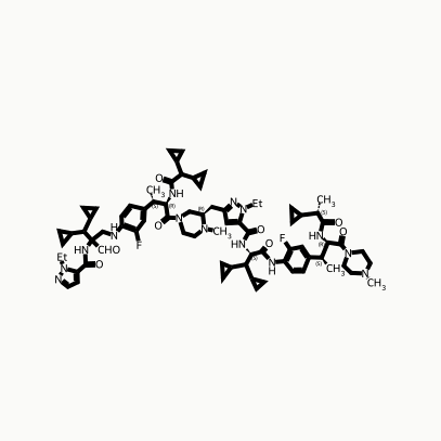 CCn1nc(C[C@@H]2CN(C(=O)[C@H](NC(=O)C(C3CC3)C3CC3)[C@@H](C)c3ccc(NCC(C=O)(NC(=O)c4ccnn4CC)C(C4CC4)C4CC4)c(F)c3)CCN2C)cc1C(=O)N[C@H](C(=O)Nc1ccc([C@H](C)[C@@H](NC(=O)[C@@H](C)C2CC2)C(=O)N2CCN(C)CC2)cc1F)C(C1CC1)C1CC1